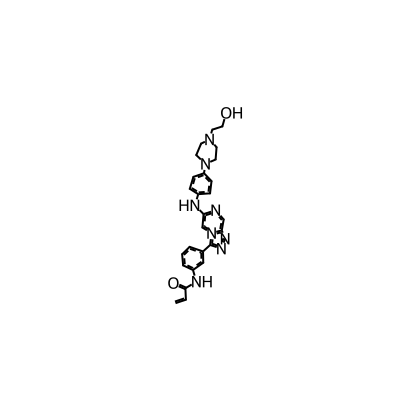 C=CC(=O)Nc1cccc(-c2nnc3cnc(Nc4ccc(N5CCN(CCO)CC5)cc4)cn23)c1